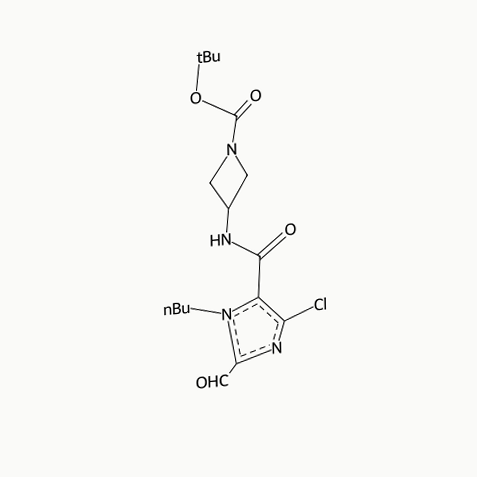 CCCCn1c(C=O)nc(Cl)c1C(=O)NC1CN(C(=O)OC(C)(C)C)C1